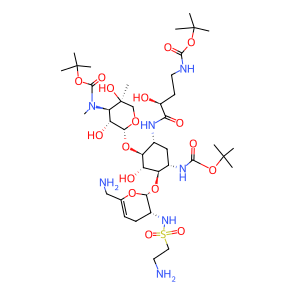 CN(C(=O)OC(C)(C)C)[C@@H]1[C@@H](O)[C@@H](O[C@@H]2[C@@H](O)[C@H](O[C@H]3OC(CN)=CC[C@H]3NS(=O)(=O)CCN)[C@@H](NC(=O)OC(C)(C)C)C[C@H]2NC(=O)[C@@H](O)CCNC(=O)OC(C)(C)C)OC[C@]1(C)O